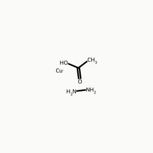 CC(=O)O.NN.[Cu]